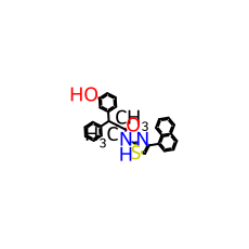 CC(C)(C(=O)Nc1nc(-c2cccc3ccccc23)cs1)C(c1ccccc1)c1cccc(O)c1